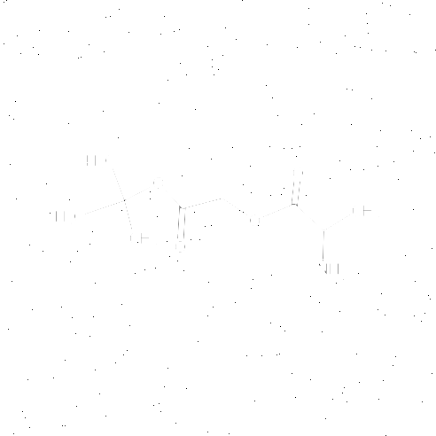 CC(N)C(=O)OCC(=O)OC(C)(C)C